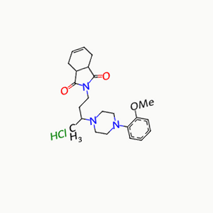 COc1ccccc1N1CCN(C(C)CCN2C(=O)C3CC=CCC3C2=O)CC1.Cl